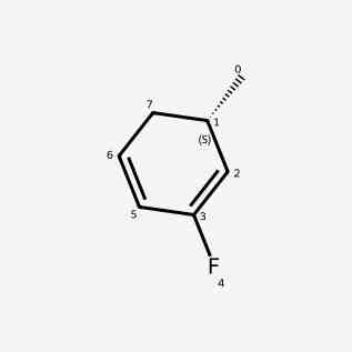 C[C@@H]1C=C(F)C=CC1